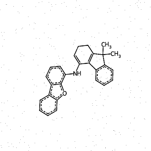 CC1(C)C2=C(C(Nc3cccc4c3oc3ccccc34)=CCC2)c2ccccc21